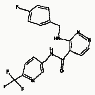 O=C(Nc1ccc(C(F)(F)F)nc1)c1ccnnc1NCc1ccc(F)cc1